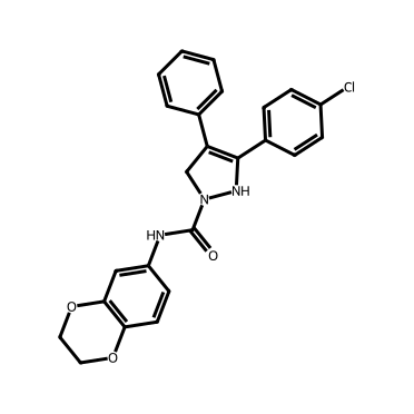 O=C(Nc1ccc2c(c1)OCCO2)N1CC(c2ccccc2)=C(c2ccc(Cl)cc2)N1